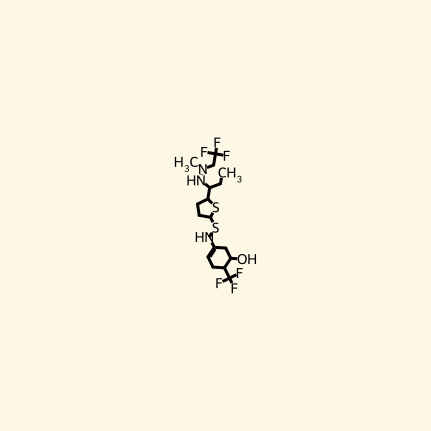 CCC(NN(C)CC(F)(F)F)C1CCC(SNC2=CCC(C(F)(F)F)C(O)C2)S1